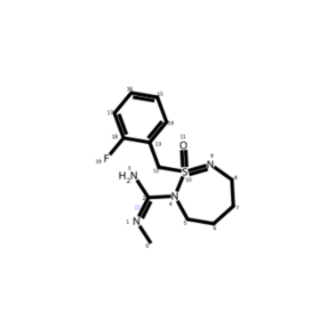 C/N=C(/N)N1CCCCN=S1(=O)Cc1ccccc1F